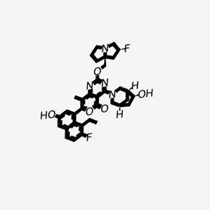 CCc1c(F)ccc2cc(O)cc(-c3oc(=O)c4c(N5C[C@H]6C[C@@H](C5)[C@H](O)C6)nc(OC[C@@]56CCCN5C[C@H](F)C6)nc4c3C)c12